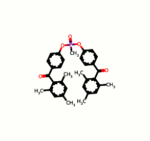 Cc1cc(C)c(C(=O)c2ccc(OP(C)(=O)Oc3ccc(C(=O)c4c(C)cc(C)cc4C)cc3)cc2)c(C)c1